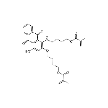 C=C(C)C(=O)OCCCCNc1c(OCCCCOC(=O)C(=C)C)cc(O)c2c1C(=O)c1ccccc1C2=O